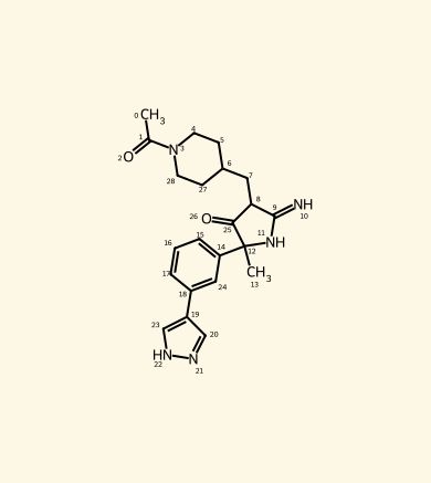 CC(=O)N1CCC(CC2C(=N)NC(C)(c3cccc(-c4cn[nH]c4)c3)C2=O)CC1